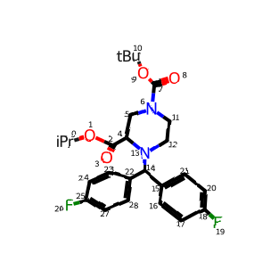 CC(C)OC(=O)C1CN(C(=O)OC(C)(C)C)CCN1C(c1ccc(F)cc1)c1ccc(F)cc1